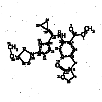 COC(=O)c1cc(CN2CCOC2=O)ccc1NC(=C1CC1)c1csc(N2CC[C@H](OC)C2)n1